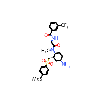 CSc1ccc(S(=O)(=O)C[C@@H]2C[C@H](N)CC[C@@H]2N(C)C(=O)CNC(=O)c2cccc(C(F)(F)F)c2)cc1